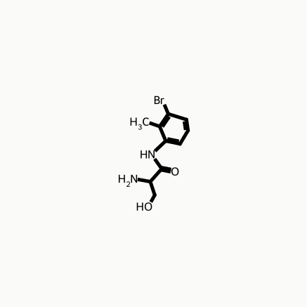 Cc1c(Br)cccc1NC(=O)C(N)CO